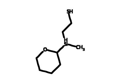 C[SiH](CCS)C1CCCCO1